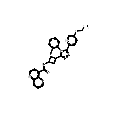 CCOc1ccc(-c2nnc(C3CC(NC(=O)c4ccnc5cccnc45)C3)n2-c2ccccc2F)nc1